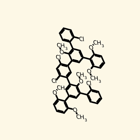 COc1cccc(OC)c1-c1cc(-c2ccccc2Cl)c(OC)c(-c2cc(-c3cc(-c4c(OC)cccc4OC)cc(-c4ccccc4Cl)c3OC)c(Cl)cc2Cl)c1